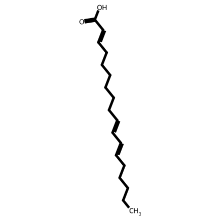 CCCCCC=CC=CCCCCCCC=CC(=O)O